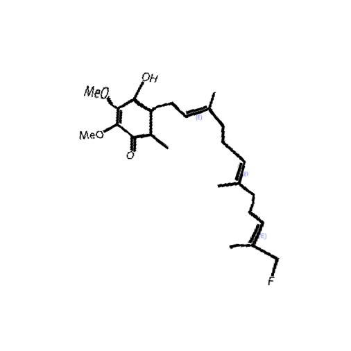 COC1=C(OC)C(O)C(C/C=C(\C)CC/C=C(\C)CC/C=C(\C)CF)C(C)C1=O